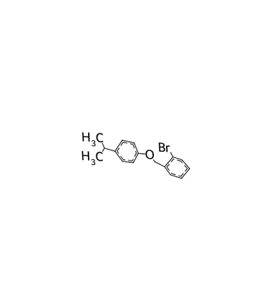 CC(C)c1ccc(OCc2ccccc2Br)cc1